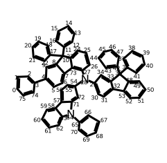 c1ccc(-c2ccc3c(c2)C(c2ccccc2)(c2ccccc2)c2cccc(N(c4ccc5c(c4)C(c4ccccc4)(c4ccccc4)c4ccccc4-5)c4ccc5c6ccccc6n(-c6ccccc6)c5c4)c2-3)cc1